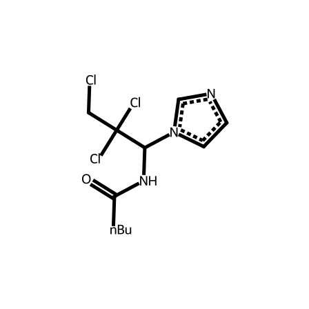 CCCCC(=O)NC(n1ccnc1)C(Cl)(Cl)CCl